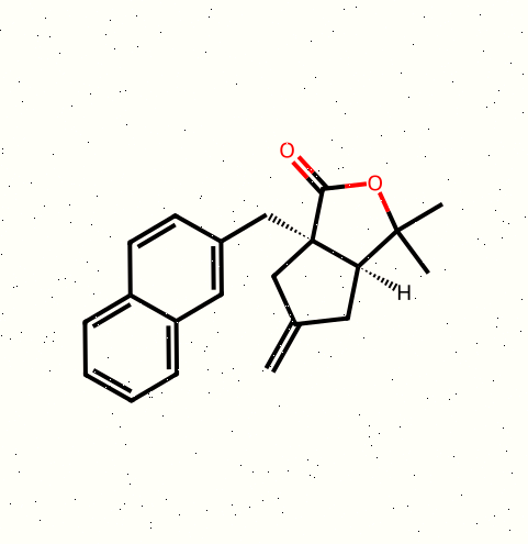 C=C1C[C@@H]2C(C)(C)OC(=O)[C@]2(Cc2ccc3ccccc3c2)C1